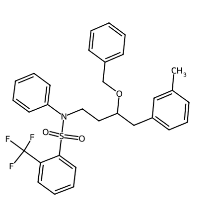 Cc1cccc(CC(CCN(c2ccccc2)S(=O)(=O)c2ccccc2C(F)(F)F)OCc2ccccc2)c1